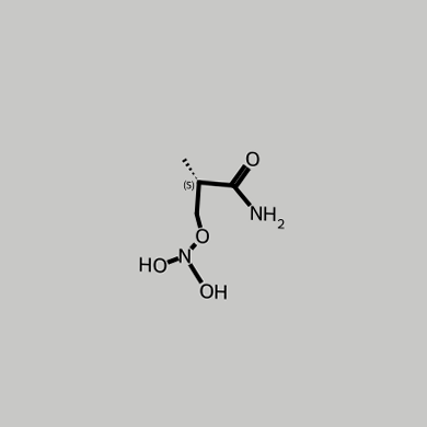 C[C@@H](CON(O)O)C(N)=O